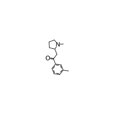 Cc1cccc(C(=O)CC2CCCN2C)c1